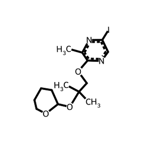 Cc1nc(I)cnc1OCC(C)(C)OC1CCCCO1